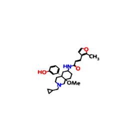 CO[C@]12CC[C@H](NC(=O)/C=C/c3ccoc3C)C[C@]1(c1cccc(O)c1)CCN(CC1CC1)C2